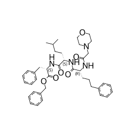 CC(C)CC[C@H](NC(=O)[C@@H](CCCc1ccccc1)NC(=O)CN1CCOCC1)C(=O)N[C@@H](Cc1ccccc1)C(=O)OCc1ccccc1